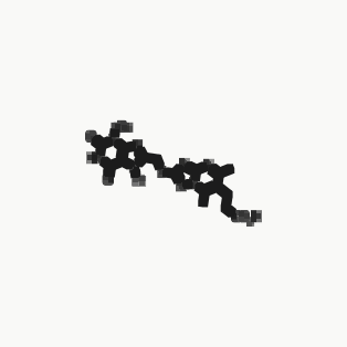 CCCCn1c(=O)[nH]c(=O)c2c1nc(CSc1nc3nc(C)c(CCC(=O)O)c(C)n3n1)n2CC